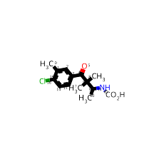 Cc1cc(C(=O)C(C)(C)C(C)NC(=O)O)ccc1Cl